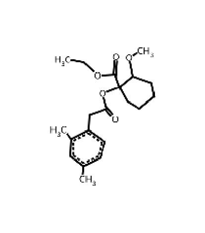 CCOC(=O)C1(OC(=O)Cc2ccc(C)cc2C)CCCCC1OC